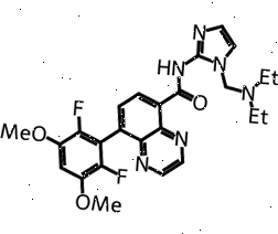 CCN(CC)Cn1ccnc1NC(=O)c1ccc(-c2c(F)c(OC)cc(OC)c2F)c2nccnc12